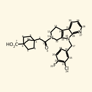 O=C(CC12CCC(C(=O)O)(CC1)C2)N1CCc2c(n(Cc3ccc(F)c(Cl)c3)c3ncccc23)C1